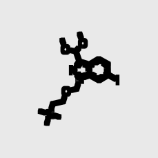 COC(OC)c1nn(COCC[Si](C)(C)C)c2cc(I)ccc12